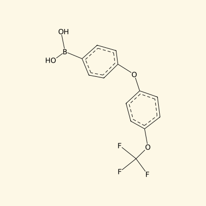 OB(O)c1ccc(Oc2ccc(OC(F)(F)F)cc2)cc1